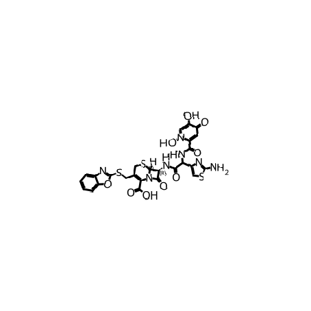 Nc1nc(C(NC(=O)c2cc(=O)c(O)cn2O)C(=O)N[C@@H]2C(=O)N3C(C(=O)O)=C(CSc4nc5ccccc5o4)CS[C@H]23)cs1